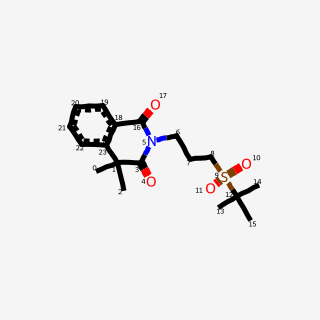 CC1(C)C(=O)N(CCCS(=O)(=O)C(C)(C)C)C(=O)c2ccccc21